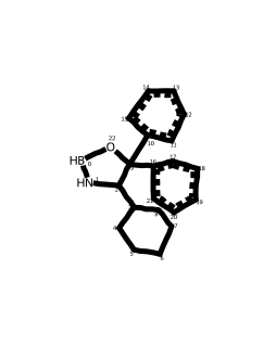 B1NC(C2CCCCC2)C(c2ccccc2)(c2ccccc2)O1